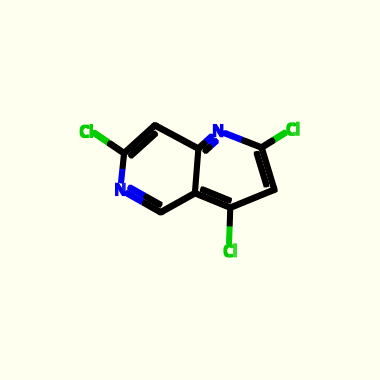 Clc1cc2nc(Cl)cc(Cl)c2cn1